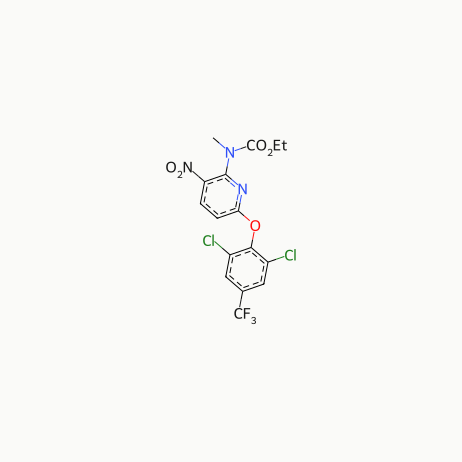 CCOC(=O)N(C)c1nc(Oc2c(Cl)cc(C(F)(F)F)cc2Cl)ccc1[N+](=O)[O-]